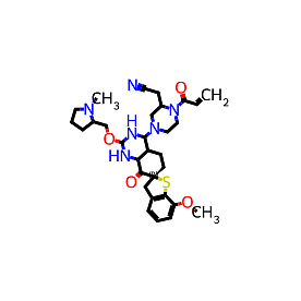 C=CC(=O)N1CCN(C2NC(OCC3CCCN3C)NC3C(=O)[C@@]4(CCC32)Cc2cccc(OC)c2S4)CC1CC#N